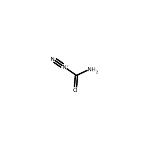 N#[N+]C(N)=O